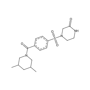 CC1CC(C)CN(C(=O)c2ccc(S(=O)(=O)N3CCNC(=O)C3)cc2)C1